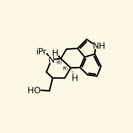 CC(C)N1CC(CO)C[C@@H]2c3cccc4[nH]cc(c34)C[C@H]21